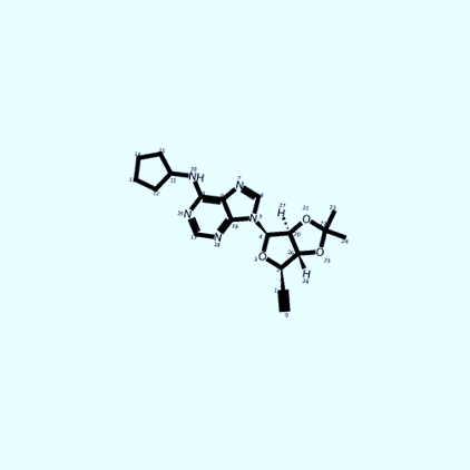 C#C[C@H]1O[C@@H](n2cnc3c(NC4CCCC4)ncnc32)[C@H]2OC(C)(C)O[C@@H]21